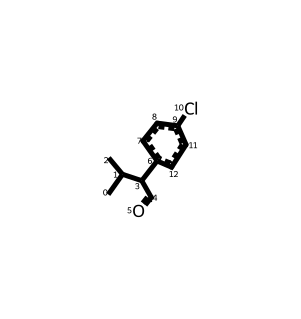 CC(C)C([C]=O)c1ccc(Cl)cc1